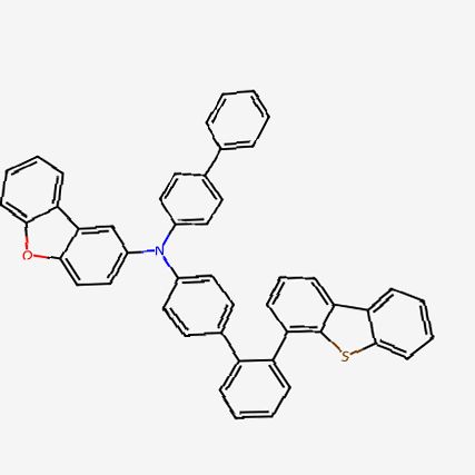 c1ccc(-c2ccc(N(c3ccc(-c4ccccc4-c4cccc5c4sc4ccccc45)cc3)c3ccc4oc5ccccc5c4c3)cc2)cc1